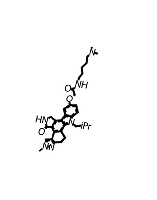 CC(C)Cn1c2ccc(OCC(=O)NCCCCCN(C)C)cc2c2c3c(c4c(c21)CCc1nn(C)cc1-4)C(=O)NC3